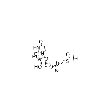 CC(C)(I)C(=O)SCCO[PH](=O)OC[C@@]1(F)O[C@@H](n2ccc(=O)[nH]c2=O)[C@](C)(O)[C@@H]1O